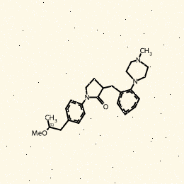 CO[C@@H](C)Cc1ccc(N2CCC(Cc3ccccc3N3CCN(C)CC3)C2=O)cc1